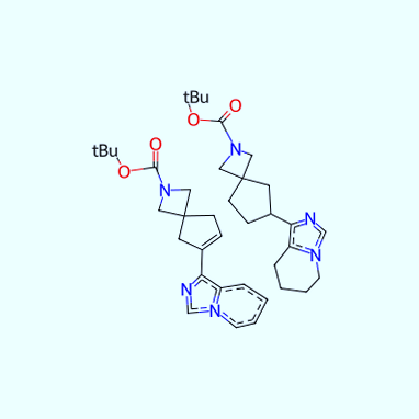 CC(C)(C)OC(=O)N1CC2(CC=C(c3ncn4ccccc34)C2)C1.CC(C)(C)OC(=O)N1CC2(CCC(c3ncn4c3CCCC4)C2)C1